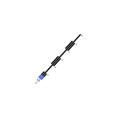 CC#CC#CC#N